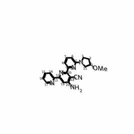 CO[C@H]1CCN(c2cccc(-c3nc(-c4ccccn4)cc(N)c3C#N)n2)C1